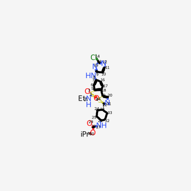 CCNS(=O)(=O)c1cc(Nc2ccnc(Cl)n2)ccc1-c1cnc([C@H]2CC[C@H](NC(=O)OC(C)C)CC2)s1